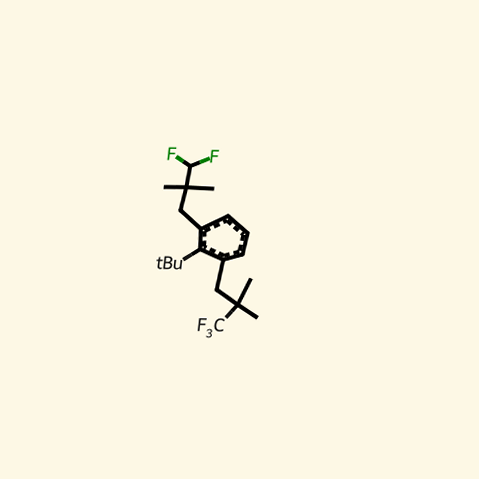 CC(C)(C)c1c(CC(C)(C)C(F)F)cccc1CC(C)(C)C(F)(F)F